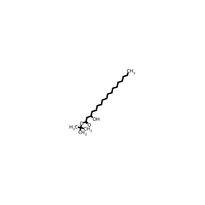 CCCCCCCCCCCCCCCC(O)CC(=O)OC(C)(C)C